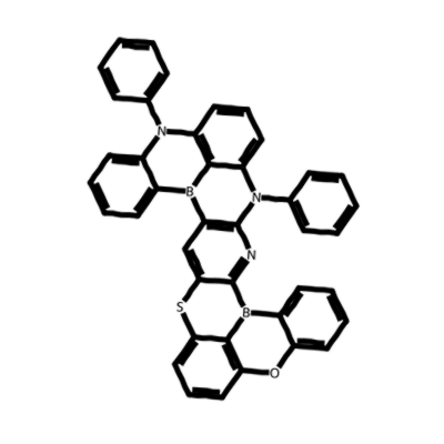 c1ccc(N2c3ccccc3B3c4cc5c(nc4N(c4ccccc4)c4cccc2c43)B2c3ccccc3Oc3cccc(c32)S5)cc1